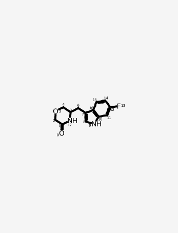 O=C1COCC(Cc2c[nH]c3cc(F)ccc23)N1